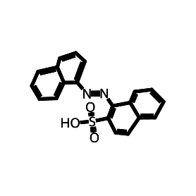 O=S(=O)(O)c1ccc2ccccc2c1N=Nc1cccc2ccccc12